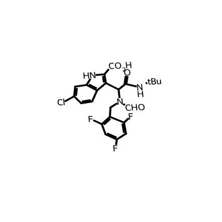 CC(C)(C)NC(=O)C(c1c(C(=O)O)[nH]c2cc(Cl)ccc12)N(C=O)Cc1c(F)cc(F)cc1F